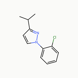 CC(C)c1ccn(-c2ccccc2Cl)n1